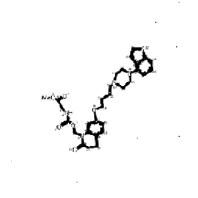 COC(=O)CNC(=O)OCN1C(=O)CCc2ccc(OCCCCN3CCN(c4cccc5sccc45)CC3)cc21